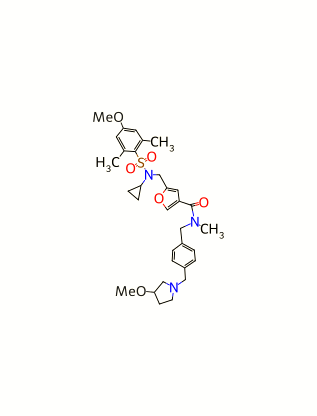 COc1cc(C)c(S(=O)(=O)N(Cc2cc(C(=O)N(C)Cc3ccc(CN4CCC(OC)C4)cc3)co2)C2CC2)c(C)c1